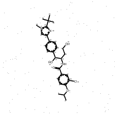 CC(C)Oc1ccc(C(=O)NC(CCO)C(O)c2ccc(-c3cn(C)c(C(C)(C)C)n3)cc2)cc1Cl